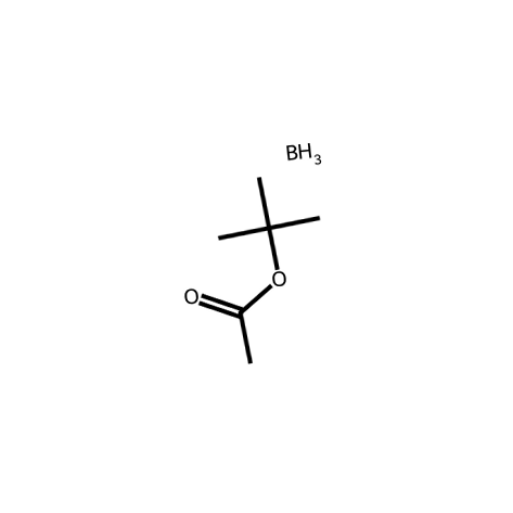 B.CC(=O)OC(C)(C)C